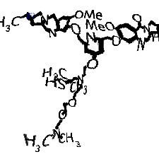 C/C=C1\CC2C=Nc3cc(OCc4cc(OCCN(CCOCCOCCN(C)C)CC(C)(C)S)cc(COc5cc6c(cc5OC)C(=O)N5CCC[C@H]5C=N6)n4)c(OC)cc3CN2C1